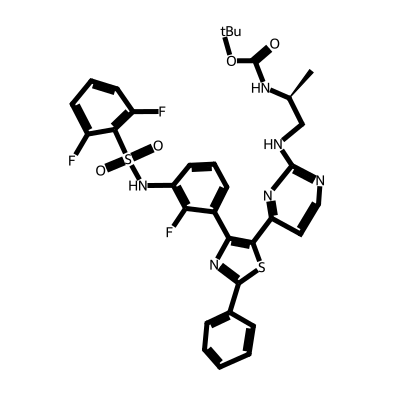 C[C@@H](CNc1nccc(-c2sc(-c3ccccc3)nc2-c2cccc(NS(=O)(=O)c3c(F)cccc3F)c2F)n1)NC(=O)OC(C)(C)C